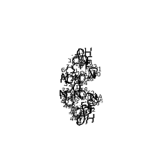 O=C(c1cnc2ccc(-c3ccc(O)c(OC(F)(F)F)c3)cc2c1N1CCC(CN2CCCC2)CC1)c1cnc2ccc(-c3ccc(O)c(OC(F)(F)F)c3)cc2c1N1CCC(CN2CCCC2)CC1